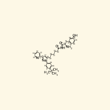 CC(C)(C)c1ccc(-n2nc(-c3ccccn3)cc2CCCCCC(=O)NC(=O)C(N)Cc2cccc(O)c2)cc1